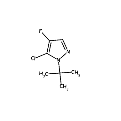 CC(C)(C)n1ncc(F)c1Cl